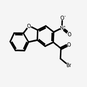 O=C(CBr)c1cc2c(cc1[N+](=O)[O-])oc1ccccc12